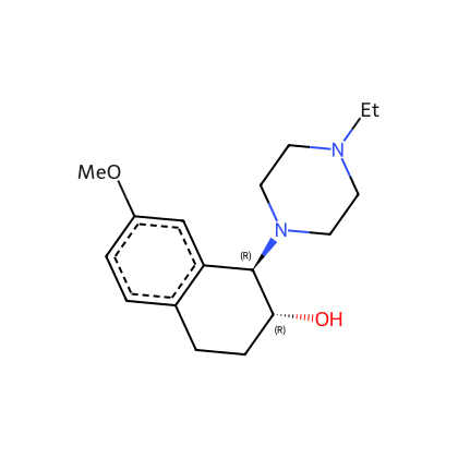 CCN1CCN([C@@H]2c3cc(OC)ccc3CC[C@H]2O)CC1